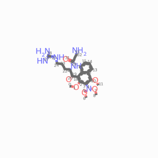 COc1c(N(OC)OC)c(OC)c2ccccc2c1C(=O)C(CCCNC(=N)N)NC(=O)CN